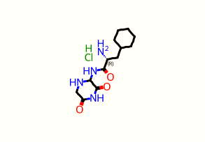 Cl.N[C@H](CC1CCCCC1)C(=O)NC1NCC(=O)NC1=O